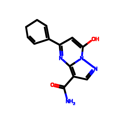 NC(=O)c1cnn2c(O)cc(C3=CCCC=C3)nc12